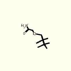 CC(C)(C)C(C)(C)COCC(N)=O